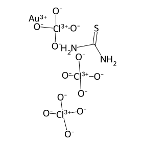 NC(N)=S.[Au+3].[O-][Cl+3]([O-])([O-])[O-].[O-][Cl+3]([O-])([O-])[O-].[O-][Cl+3]([O-])([O-])[O-]